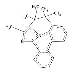 Cc1nc2c3ccccc3c3cccc4c3n2c1[Si](C)(C)C4(C)C